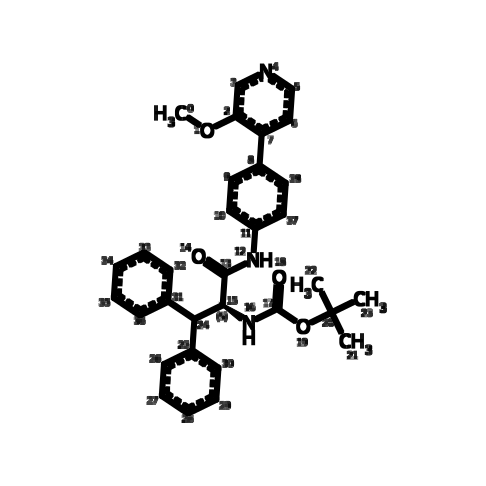 COc1cnccc1-c1ccc(NC(=O)[C@@H](NC(=O)OC(C)(C)C)C(c2ccccc2)c2ccccc2)cc1